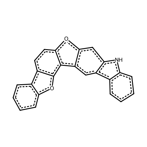 c1ccc2c(c1)[nH]c1cc3oc4ccc5c6ccccc6oc5c4c3cc12